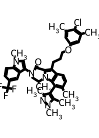 Cc1cc(OCCCc2c3n(c4c(-c5c(C)nn(C)c5C)c(C)ccc24)[C@H](C)CN(c2cn(C)c4ccc(C(F)(F)F)cc24)C3=O)cc(C)c1Cl